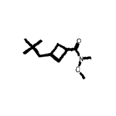 CON(C)C(=O)C1CC(CC(C)(C)C)C1